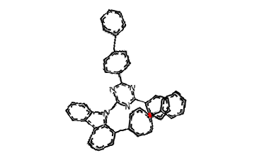 c1ccc(-c2ccc(-c3nc(-c4ccccc4)nc(-n4c5ccccc5c5cccc(-c6ccc(-c7ccccc7)cc6)c54)n3)cc2)cc1